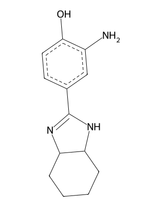 Nc1cc(C2=NC3CCCCC3N2)ccc1O